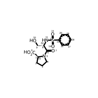 O=C(O)[C@@H]1CCCN1C(=O)[C@H](CO)NS(=O)(=O)c1ccccc1